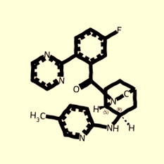 Cc1ccc(N[C@@H]2CC3CC[C@@H]2N(C(=O)c2cc(F)ccc2-c2ncccn2)C3)nc1